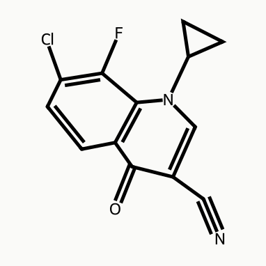 N#Cc1cn(C2CC2)c2c(F)c(Cl)ccc2c1=O